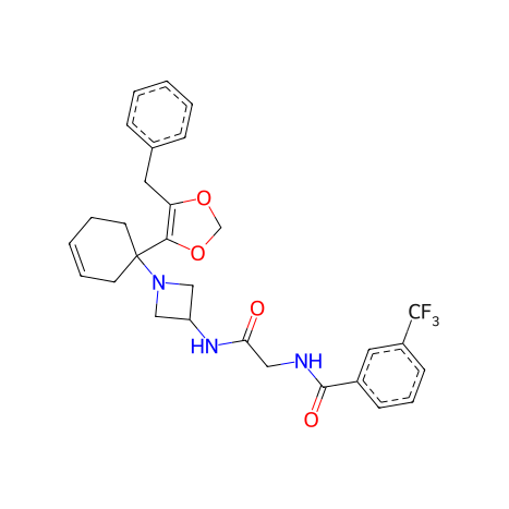 O=C(CNC(=O)c1cccc(C(F)(F)F)c1)NC1CN(C2(C3=C(Cc4ccccc4)OCO3)CC=CCC2)C1